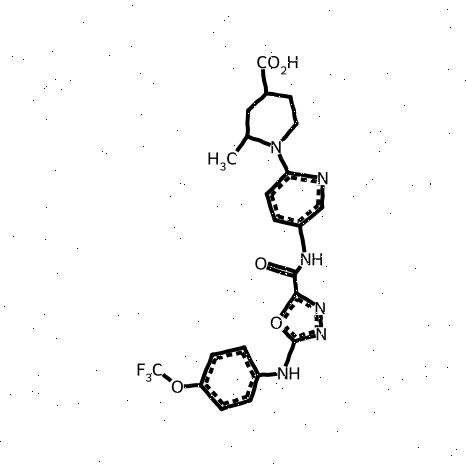 CC1CC(C(=O)O)CCN1c1ccc(NC(=O)c2nnc(Nc3ccc(OC(F)(F)F)cc3)o2)cn1